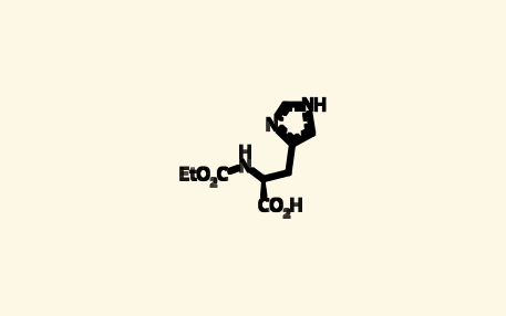 CCOC(=O)N[C@@H](Cc1c[nH]cn1)C(=O)O